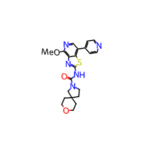 COc1ncc(-c2ccncc2)c2sc(NC(=O)N3CCC4(CCOCC4)C3)nc12